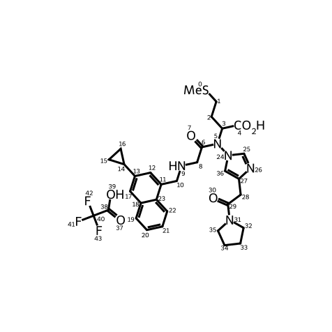 CSCCC(C(=O)O)N(C(=O)CNCc1cc(C2CC2)cc2ccccc12)n1cnc(CC(=O)N2CCCC2)c1.O=C(O)C(F)(F)F